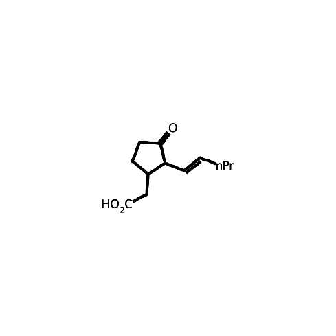 CCC/C=C/C1C(=O)CCC1CC(=O)O